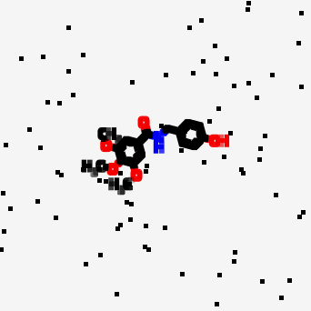 COc1cc(C(=O)NCc2ccc(O)cc2)cc(OC)c1OC